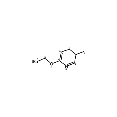 CC1C=NC(OCC(C)(C)C)=CC1